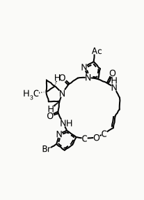 CC(=O)c1cc2n(n1)CC(=O)N1[C@@H](C[C@@]3(C)C[C@@H]13)C(=O)Nc1nc(Br)ccc1COC/C=C/CCNC2=O